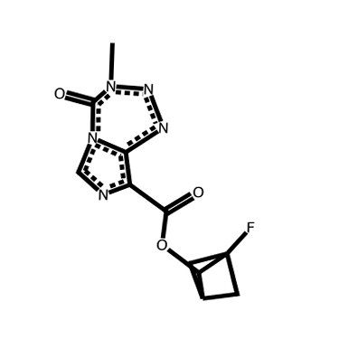 Cn1nnc2c(C(=O)OC3C4CC3(F)C4)ncn2c1=O